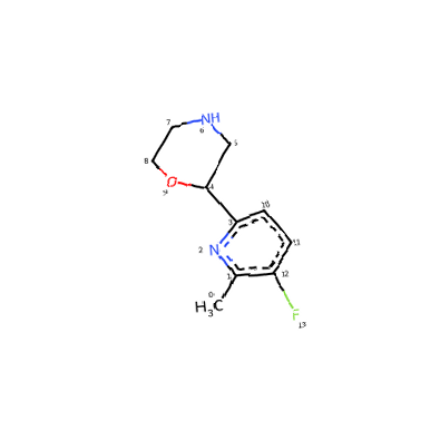 Cc1nc(C2CNCCO2)ccc1F